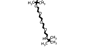 CC(C)(C)NCCOCCOCCOCCOC(C)(C)C